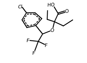 CCC(CC)(OC(c1ccc(Cl)cc1)C(F)(F)F)C(=O)O